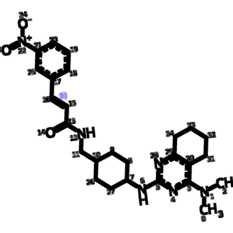 CN(C)c1nc(NC2CCC(CNC(=O)/C=C/c3cccc([N+](=O)[O-])c3)CC2)nc2c1CCCC2